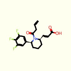 C=CCC(=O)N1[C@@H](C=CC(=O)O)CCC[C@H]1c1cc(F)c(F)c(F)c1